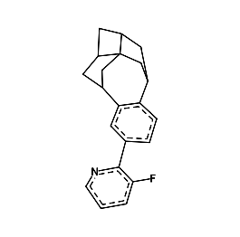 Fc1cccnc1-c1ccc2c(c1)C1CC3CC4CC2CC43C1